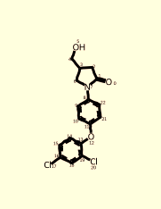 O=C1CC(CO)CN1c1ccc(Oc2ccc(Cl)cc2Cl)cc1